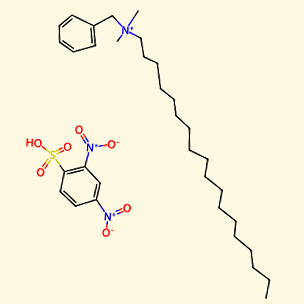 CCCCCCCCCCCCCCCCCC[N+](C)(C)Cc1ccccc1.O=[N+]([O-])c1ccc(S(=O)(=O)O)c([N+](=O)[O-])c1